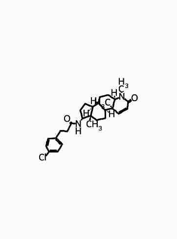 CN1C(=O)C=C[C@]2(C)[C@H]3CC[C@]4(C)[C@@H](NC(=O)CCc5ccc(Cl)cc5)CC[C@H]4[C@@H]3CC[C@@H]12